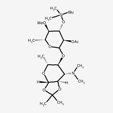 CO[C@H]1[C@H](O[Si](C)(C)C(C)(C)C)[C@@H](OC(C)=O)C(O[C@H]2[C@H](N(C)C)[C@H]3OC(C)(C)O[C@@H]3O[C@@H]2C)O[C@@H]1C